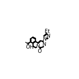 CCc1cn(C2=NCC(=O)N3CCc4c(cccc4[C@H](C)O)C3=C2)cn1